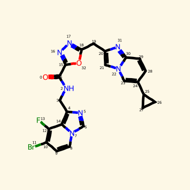 O=C(NCc1ncn2ccc(Br)c(F)c12)c1nnc(Cc2cn3cc(C4CC4)ccc3n2)o1